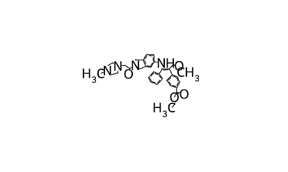 CCOC(=O)c1ccc(/C(C=O)=C(/Nc2ccc3c(c2)CN(C(=O)CN2CCN(C)CC2)C3)c2ccccc2)c(C)c1